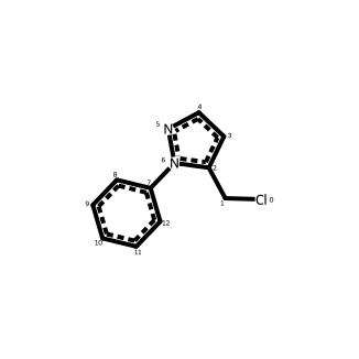 ClCc1ccnn1-c1ccccc1